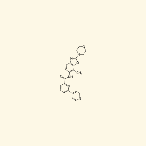 Cc1c(NC(=O)c2cccc(-c3ccncc3)n2)ccc2nc(N3CCOCC3)oc12